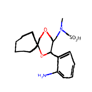 CN(C1OC2(CCCCC2)OC1c1ccccc1N)S(=O)(=O)O